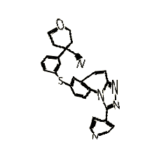 N#CC1(c2cccc(Sc3ccc4c(ccc5nnc(-c6ccncc6)n54)c3)c2)CCOCC1